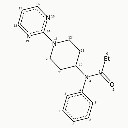 CCC(=O)N(c1ccccc1)C1CCN(c2ncccn2)CC1